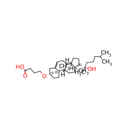 CC(C)CCCC(C)(O)[C@H]1CC[C@H]2[C@@H]3CC=C4C[C@@H](OCCCC(=O)O)CC[C@]4(C)[C@H]3CC[C@]12C